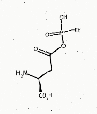 CCP(=O)(O)OC(=O)C[C@H](N)C(=O)O